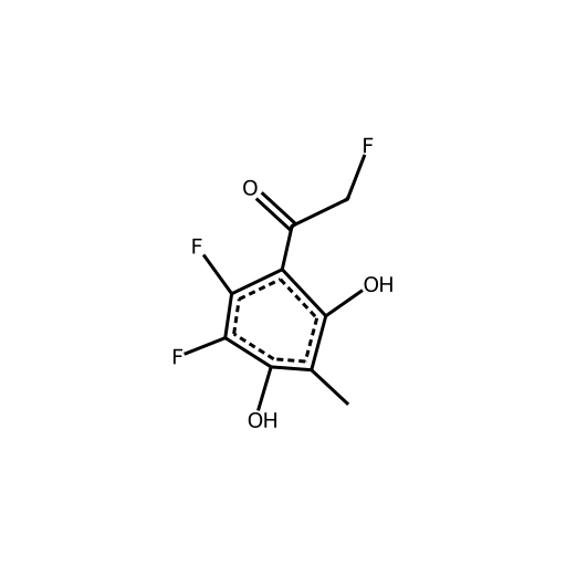 Cc1c(O)c(F)c(F)c(C(=O)CF)c1O